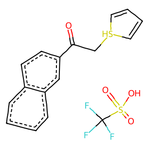 O=C(C[SH]1C=CC=C1)c1ccc2ccccc2c1.O=S(=O)(O)C(F)(F)F